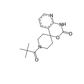 CC(C)(C)C(=O)N1CCC2(CC1)OC(=O)Nc1ncccc12